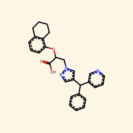 O=C(O)C(Cn1cc(C(c2ccccc2)c2cccnc2)cn1)Oc1cccc2c1CCCC2